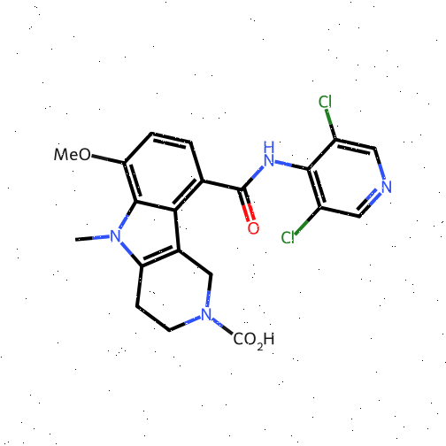 COc1ccc(C(=O)Nc2c(Cl)cncc2Cl)c2c3c(n(C)c12)CCN(C(=O)O)C3